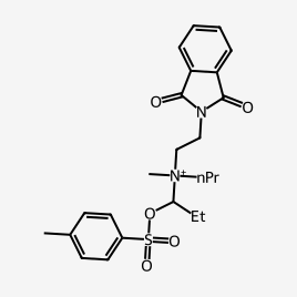 CCC[N+](C)(CCN1C(=O)c2ccccc2C1=O)C(CC)OS(=O)(=O)c1ccc(C)cc1